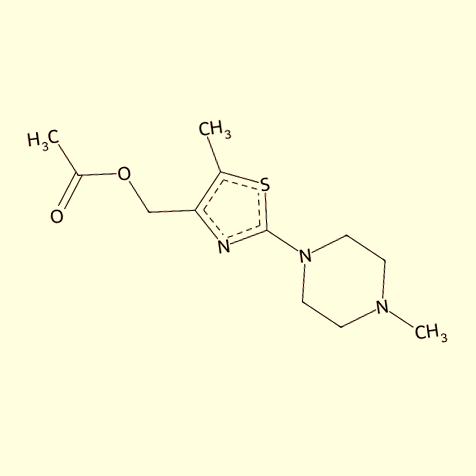 CC(=O)OCc1nc(N2CCN(C)CC2)sc1C